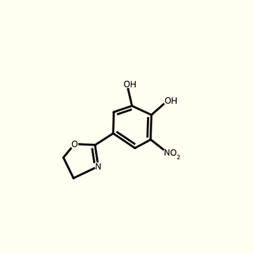 O=[N+]([O-])c1cc(C2=NCCO2)cc(O)c1O